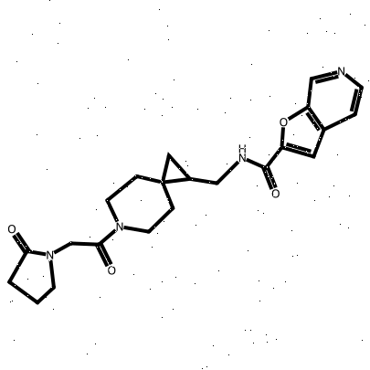 O=C(NCC1CC12CCN(C(=O)CN1CCCC1=O)CC2)c1cc2ccncc2o1